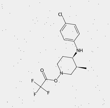 C[C@H]1CN(OC(=O)C(F)(F)F)CC[C@H]1Nc1ccc(Cl)cc1